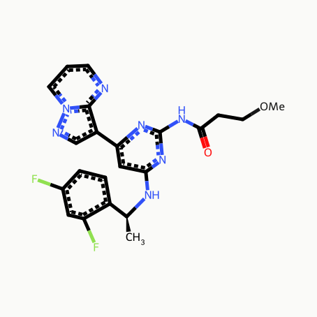 COCCC(=O)Nc1nc(N[C@@H](C)c2ccc(F)cc2F)cc(-c2cnn3cccnc23)n1